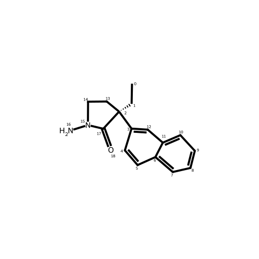 CC[C@@]1(c2ccc3ccccc3c2)CCN(N)C1=O